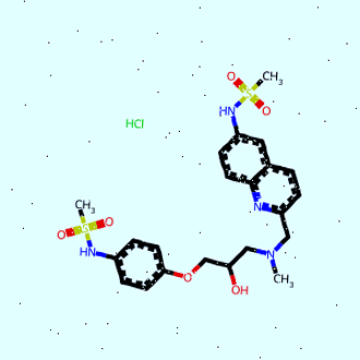 CN(Cc1ccc2cc(NS(C)(=O)=O)ccc2n1)CC(O)COc1ccc(NS(C)(=O)=O)cc1.Cl